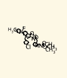 CN1CCN(c2cc3c(cc2F)c(=O)c(-c2noc(Cc4ccccc4CNC(=O)OC(C)(C)C)n2)cn3Cc2ccc(Cl)cc2)CC1